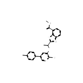 CNC(=O)c1cccc2[nH]c(C(C)Oc3cc(-c4ccc(C)cc4)cnc3N)nc12